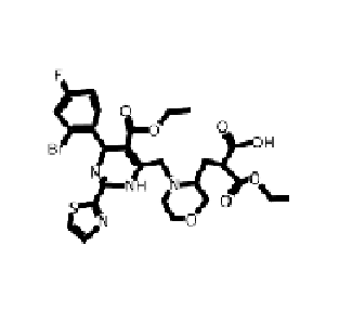 CCOC(=O)C1=C(CN2CCOCC2CC(C(=O)O)C(=O)OCC)NC(c2nccs2)=NC1c1ccc(F)cc1Br